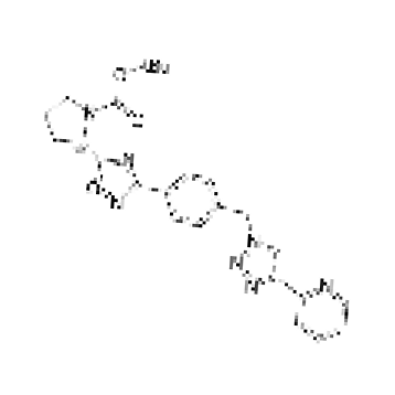 CC(C)(C)OC(=O)N1CCC[C@H]1c1nc(-c2ccc(Cn3cc(-c4ccccn4)nn3)cc2)no1